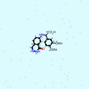 COc1ccc(C(Nc2ccc3cn[nH]c(=O)c3c2)C(=O)O)cc1OC